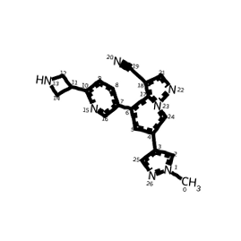 Cn1cc(-c2cc(-c3ccc(C4CNC4)nc3)c3c(C#N)cnn3c2)cn1